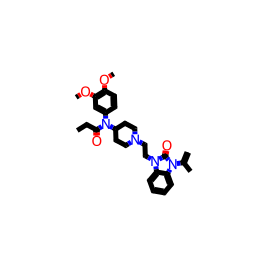 C=C(C)n1c(=O)n(CCN2CCC(N(C(=O)CC)c3ccc(OC)c(OC)c3)CC2)c2ccccc21